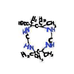 CCCCCCCCCCC1(C)CC(C)(C)NCCNC(C)CC(C)(C)NCCN1